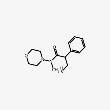 CN(C(=O)C(CS)c1ccccc1)N1CCOCC1